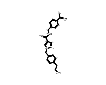 N#CCCc1ccc(Cn2cc(C(=O)NCc3ccc(C(=N)N)cc3)cn2)cc1